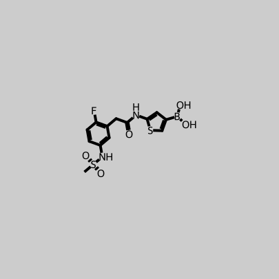 CS(=O)(=O)Nc1ccc(F)c(CC(=O)Nc2cc(B(O)O)cs2)c1